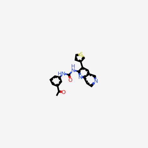 CC(=O)c1cccc(NC(=O)Nc2nc3ccncc3cc2-c2ccsc2)c1